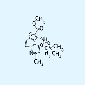 COC(=O)c1sc2ccc3nc(C)ccc3c2c1NC(=O)OC(C)(C)C